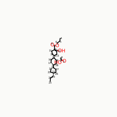 CC(=O)O.CCCOC(=O)C1=C(O)CC([C@H]2CC[C@H]([C@H]3CC[C@H](CCC)CC3)CC2)CC1